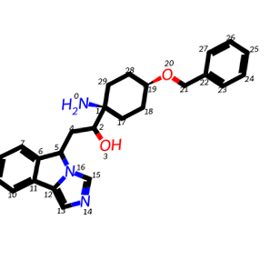 N[C@]1(C(O)CC2c3ccccc3-c3cncn32)CC[C@H](OCc2ccccc2)CC1